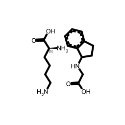 NCCCC[C@H](N)C(=O)O.O=C(O)CNC1CCc2ccccc21